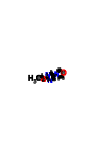 CCOc1ncc(N2CCOCC2)cn1